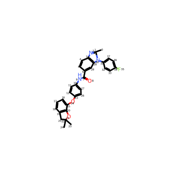 Cc1nc2ccc(C(=O)Nc3ccc(Oc4cccc5c4OC(C)(C)C5)cc3)cc2n1-c1ccc(F)cc1